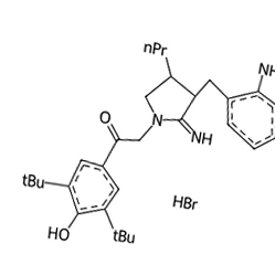 Br.CCCC1CN(CC(=O)c2cc(C(C)(C)C)c(O)c(C(C)(C)C)c2)C(=N)C1Cc1ccccc1N